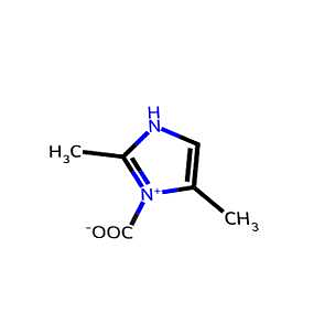 Cc1c[nH]c(C)[n+]1C(=O)[O-]